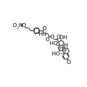 C[C@]12C=CC(=O)C=C1CC[C@H]1[C@@H]3C[C@@H](O)[C@](O)(C(=O)COC(=O)CNC(=O)c4ccc(CCCO[N+](=O)[O-])cc4)[C@@]3(C)C[C@H](O)[C@@]12F